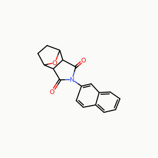 O=C1C2C3CCC(O3)C2C(=O)N1c1ccc2ccccc2c1